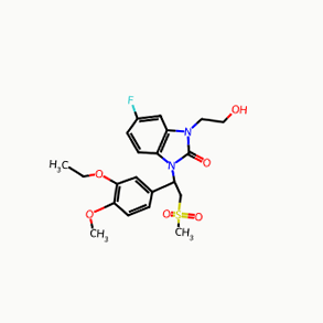 CCOc1cc(C(CS(C)(=O)=O)n2c(=O)n(CCO)c3cc(F)ccc32)ccc1OC